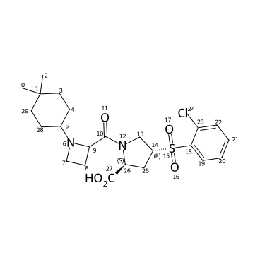 CC1(C)CCC(N2CCC2C(=O)N2C[C@H](S(=O)(=O)c3ccccc3Cl)C[C@H]2C(=O)O)CC1